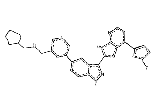 Fc1ccc(-c2ccnc3[nH]c(-c4n[nH]c5ccc(-c6cncc(CNCC7CCCC7)c6)cc45)cc23)s1